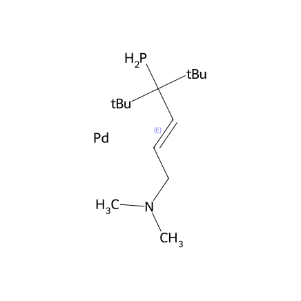 CN(C)C/C=C/C(P)(C(C)(C)C)C(C)(C)C.[Pd]